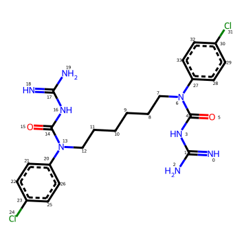 N=C(N)NC(=O)N(CCCCCCN(C(=O)NC(=N)N)c1ccc(Cl)cc1)c1ccc(Cl)cc1